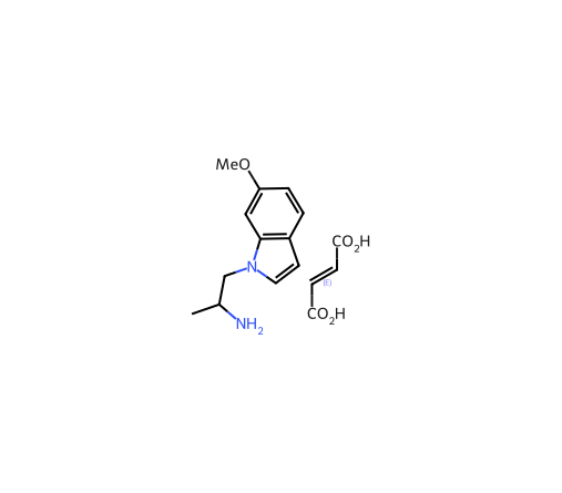 COc1ccc2ccn(CC(C)N)c2c1.O=C(O)/C=C/C(=O)O